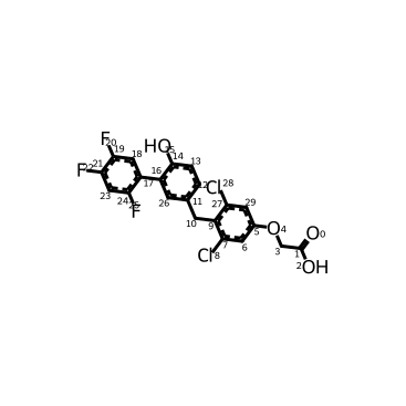 O=C(O)COc1cc(Cl)c(Cc2ccc(O)c(-c3cc(F)c(F)cc3F)c2)c(Cl)c1